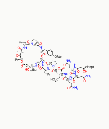 CCCCCCC[C@@H](O)CC(=O)N[C@@H](CCC(N)=O)C(=O)N[C@@H](CCC(N)=O)C(=O)N[C@@H](CCC(N)=O)C(=O)N[C@@H](CCC(=O)O)C(=O)O[C@@H](C)C(=O)N1CCC[C@H]1C(=O)N(C)[C@H](CC(C)C)C(=O)N[C@@H]1C(=O)N[C@@H]([C@@H](C)CC)[C@@H](O)CC(=O)O[C@@H](C(C)C)C(=O)[C@H](C)C(=O)N[C@@H](CC(C)C)C(=O)N2CCC[C@H]2C(=O)N(C)[C@@H](Cc2ccc(OC)cc2)C(=O)O[C@H]1C